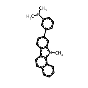 CN(C)c1cccc(-c2ccc3c4ccc5ccccc5c4n(C)c3c2)c1